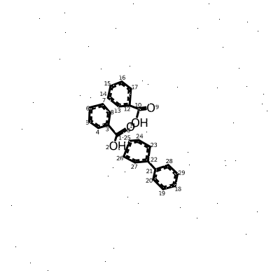 O=C(O)c1ccccc1.O=C(O)c1ccccc1.c1ccc(-c2ccccc2)cc1